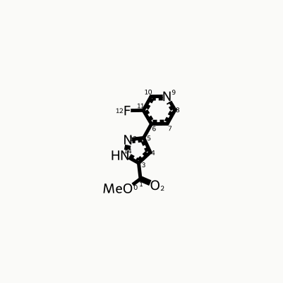 COC(=O)c1cc(-c2ccncc2F)n[nH]1